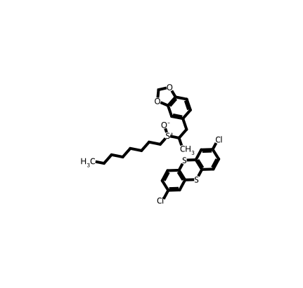 CCCCCCCC[S+]([O-])C(C)Cc1ccc2c(c1)OCO2.Clc1ccc2c(c1)Sc1ccc(Cl)cc1S2